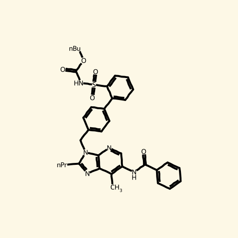 CCCCOC(=O)NS(=O)(=O)c1ccccc1-c1ccc(Cn2c(CCC)nc3c(C)c(NC(=O)c4ccccc4)cnc32)cc1